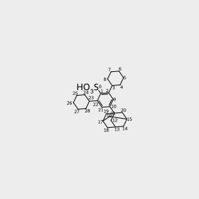 O=S(=O)(O)c1c(C2CCCCC2)cc(C23CC4CC(CC(C4)C2)C3)cc1C1CCCCC1